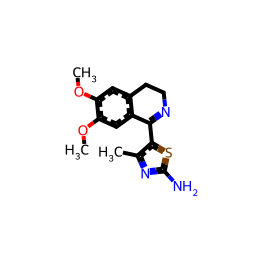 COc1cc2c(cc1OC)C(c1sc(N)nc1C)=NCC2